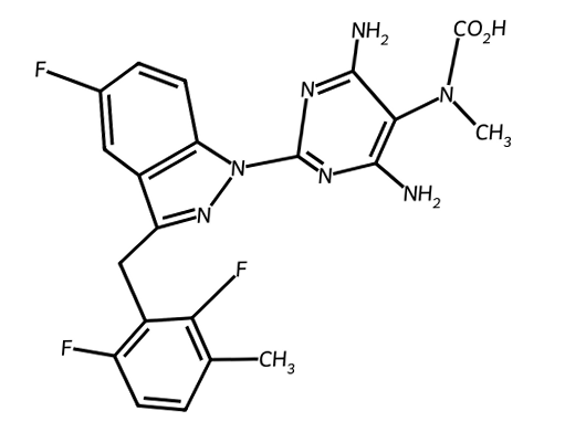 Cc1ccc(F)c(Cc2nn(-c3nc(N)c(N(C)C(=O)O)c(N)n3)c3ccc(F)cc23)c1F